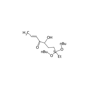 CC=CC(=O)C(O)CC[Si](CC)(OCCCC)OCCCC